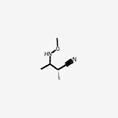 CONC(C)[C@@H](C)C#N